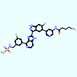 CCCCC(=O)Nc1cncc(-c2cc3c(-c4nc5c(-c6cc(F)cc(CNS(C)(=O)=O)c6)nccc5[nH]4)n[nH]c3cc2F)c1